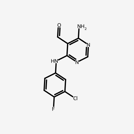 Nc1ncnc(Nc2ccc(F)c(Cl)c2)c1C=O